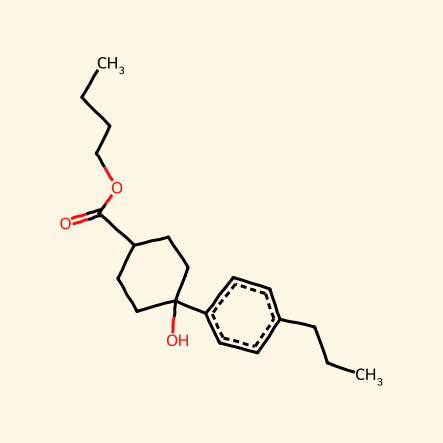 CCCCOC(=O)C1CCC(O)(c2ccc(CCC)cc2)CC1